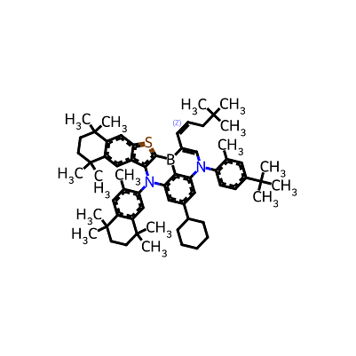 Cc1cc(C(C)(C)C)ccc1N1C=C(/C=C\CC(C)(C)C)B2c3sc4cc5c(cc4c3N(c3cc4c(cc3C)C(C)(C)CCC4(C)C)c3cc(C4CCCCC4)cc1c32)C(C)(C)CCC5(C)C